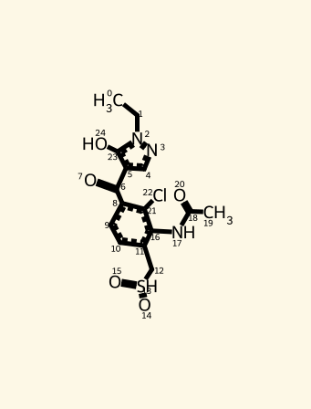 CCn1ncc(C(=O)c2ccc(C[SH](=O)=O)c(NC(C)=O)c2Cl)c1O